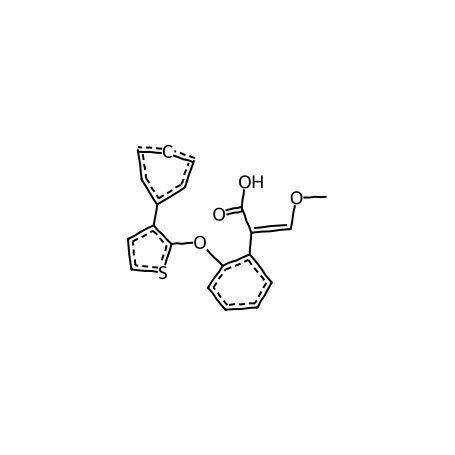 COC=C(C(=O)O)c1ccccc1Oc1sccc1-c1ccccc1